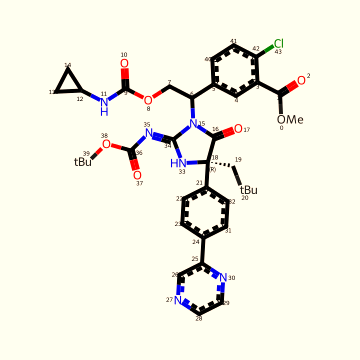 COC(=O)c1cc(C(COC(=O)NC2CC2)N2C(=O)[C@@](CC(C)(C)C)(c3ccc(-c4cnccn4)cc3)NC2=NC(=O)OC(C)(C)C)ccc1Cl